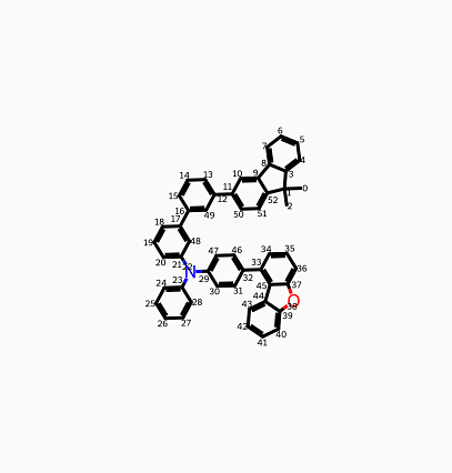 CC1(C)c2ccccc2-c2cc(-c3cccc(-c4cccc(N(c5ccccc5)c5ccc(-c6cccc7oc8ccccc8c67)cc5)c4)c3)ccc21